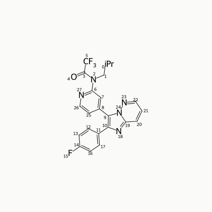 CC(C)CN(C(=O)C(F)(F)F)c1cc(-c2c(-c3ccc(F)cc3)nc3cccnn23)ccn1